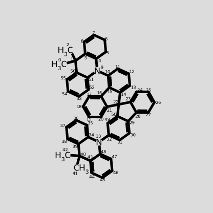 CC1(C)C2=C(CCC=C2)N(c2cccc3c2-c2ccccc2C32c3ccccc3-c3ccc(N4c5ccccc5C(C)(C)c5ccccc54)cc32)c2ccccc21